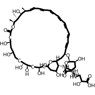 C[C@@H]1[C@H](O)[C@@H](C)/C=C/C=C/C=C/C=C/C=C/C=C/C=C/[C@H](O[C@@H]2O[C@H](C)[C@@H](O)C[C@@H]2O)C[C@@H]2O[C@](O)(C[C@@H](O)C[C@@H](O)[C@H](O)CC[C@@H](O)C[C@@H](O)CC(=O)O[C@H]1C)C[C@H](O)[C@H]2NC(=O)NNC[C@@H](O)C(=O)O